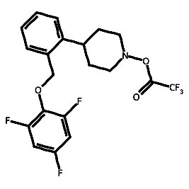 O=C(ON1CCC(c2ccccc2COc2c(F)cc(F)cc2F)CC1)C(F)(F)F